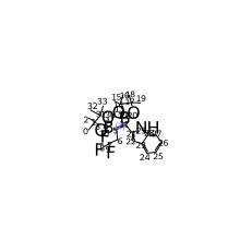 CC1(C)OB(/C(CC(F)(F)F)=C(\B2OC(C)(C)C(C)(C)O2)c2cc3ccccc3[nH]2)OC1(C)C